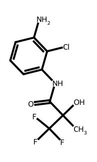 CC(O)(C(=O)Nc1cccc(N)c1Cl)C(F)(F)F